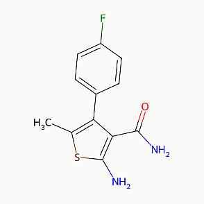 Cc1sc(N)c(C(N)=O)c1-c1ccc(F)cc1